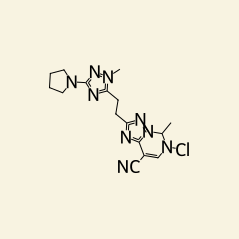 CC1N(Cl)C=C(C#N)c2nc(CCc3nc(N4CCCC4)nn3C)nn21